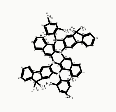 Cc1cc(C)c(B2c3cc4c(cc3N3c5cc6ccccc6c6c5N(c5cc7c(cc5B6c5c(C)cc(C)cc5C)C(C)(C)c5ccccc5-7)c5cc6ccccc6c2c53)-c2ccccc2C4(C)C)c(C)c1